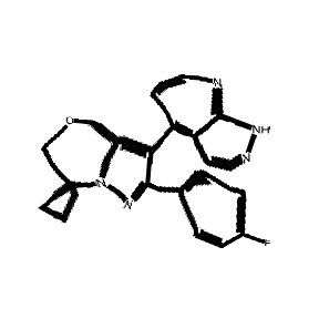 Fc1ccc(-c2nn3c(c2-c2ccnc4[nH]ncc24)COCC32CC2)cc1